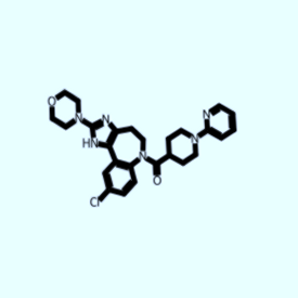 O=C(C1CCN(c2ccccn2)CC1)N1CCc2nc(N3CCOCC3)[nH]c2-c2cc(Cl)ccc21